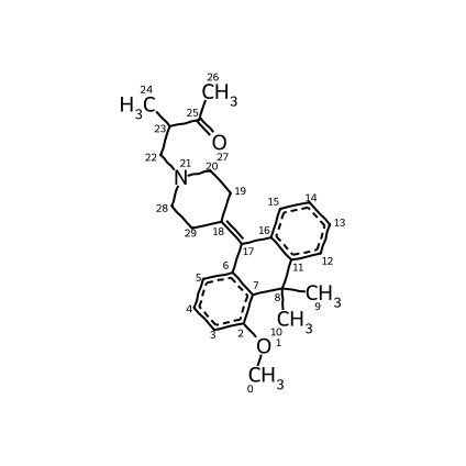 COc1cccc2c1C(C)(C)c1ccccc1C2=C1CCN(CC(C)C(C)=O)CC1